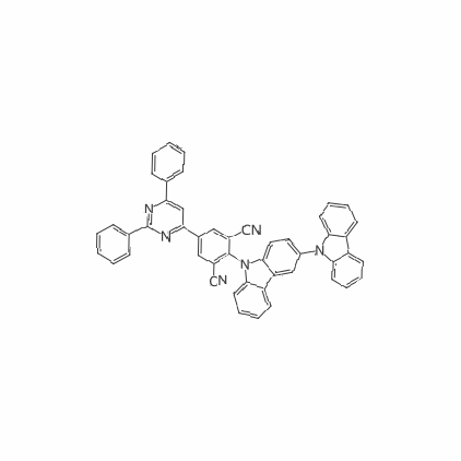 N#Cc1cc(-c2cc(-c3ccccc3)nc(-c3ccccc3)n2)cc(C#N)c1-n1c2ccccc2c2cc(-n3c4ccccc4c4ccccc43)ccc21